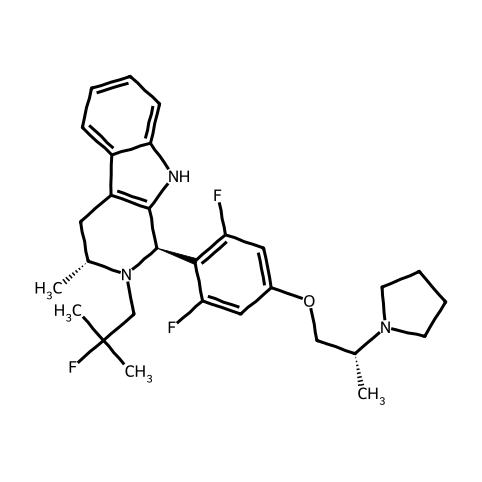 C[C@H](COc1cc(F)c([C@@H]2c3[nH]c4ccccc4c3C[C@@H](C)N2CC(C)(C)F)c(F)c1)N1CCCC1